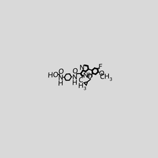 COc1cc(OCC2CC2)c(-c2ccnc3c(C(=O)N[C@H]4CC[C@H](NC(=O)O)CC4)c(C)[nH]c23)cc1F